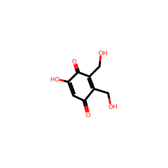 O=C1C=C(O)C(=O)C(CO)=C1CO